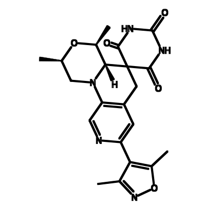 Cc1noc(C)c1-c1cc2c(cn1)N1C[C@@H](C)O[C@@H](C)[C@@H]1C1(C2)C(=O)NC(=O)NC1=O